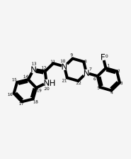 Fc1ccccc1N1CCN(Cc2nc3ccccc3[nH]2)CC1